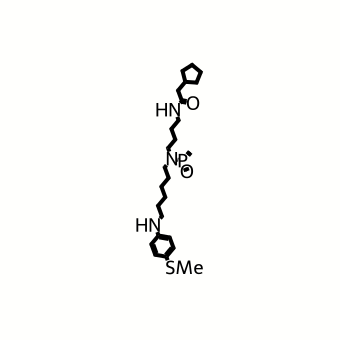 C=P(=O)N(CCCCCCNc1ccc(SC)cc1)CCCCNC(=O)CC1CCCC1